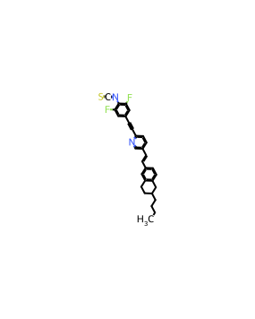 CCCCC1CCc2cc(/C=C/c3ccc(C#Cc4cc(F)c(N=C=S)c(F)c4)nc3)ccc2C1